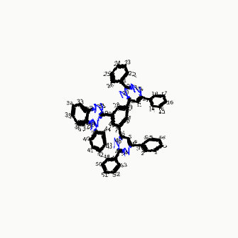 c1ccc(-c2cc(-c3cc(-c4cc(-c5ccccc5)nc(-c5ccccc5)n4)cc(-c4nc5ccccc5n4-c4ccccc4)c3)nc(-c3ccccc3)n2)cc1